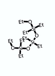 CCO[Si](CC)(CC)O[Si](CC)(CC)O[Si](CC)(CC)OCC